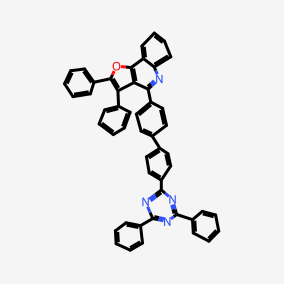 c1ccc(-c2nc(-c3ccccc3)nc(-c3ccc(-c4ccc(-c5nc6ccccc6c6oc(-c7ccccc7)c(-c7ccccc7)c56)cc4)cc3)n2)cc1